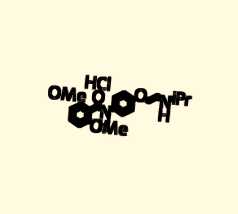 COc1cccc(OC)c1C(=O)Nc1ccc(OCCNC(C)C)cc1.Cl